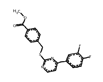 COC(=O)c1ccc(CSc2nccc(-c3ccc(F)c(F)c3)n2)cc1